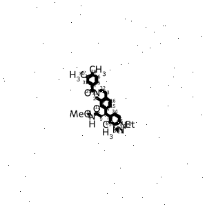 CCn1nnc2c(C)c([C@@H](CC(=O)NOC)c3ccc4c(c3)CN(C(=O)c3ccc(C)c(C)c3)CC4)ccc21